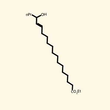 CCCC(O)C=CCCCCCCCCCCCCC(=O)OCC